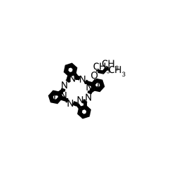 CC(C)CC(C)Oc1cccc2c3nc4nc(nc5[nH]c(nc6nc(nc([nH]3)c12)-c1ccccc1-6)c1ccccc51)-c1ccccc1-4